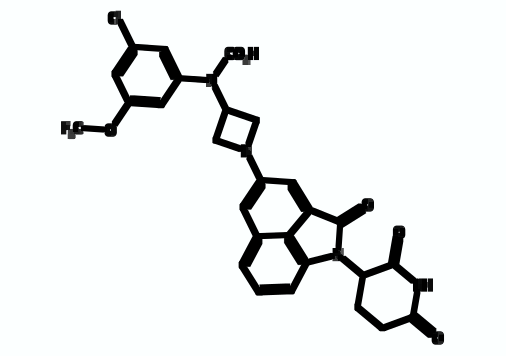 O=C1CCC(N2C(=O)c3cc(N4CC(N(C(=O)O)c5cc(Cl)cc(OC(F)(F)F)c5)C4)cc4cccc2c34)C(=O)N1